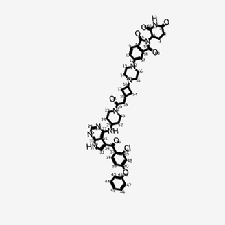 O=C1CCC(N2C(=O)c3ccc(N4CCN(C5CC(CC(=O)N6CCC(Nc7ncnc8[nH]cc(C(=O)c9ccc(Oc%10ccccc%10)cc9Cl)c78)CC6)C5)CC4)cc3C2=O)C(=O)N1